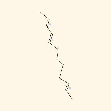 [CH2]/C=C/C=C/CCCC/C=C/C